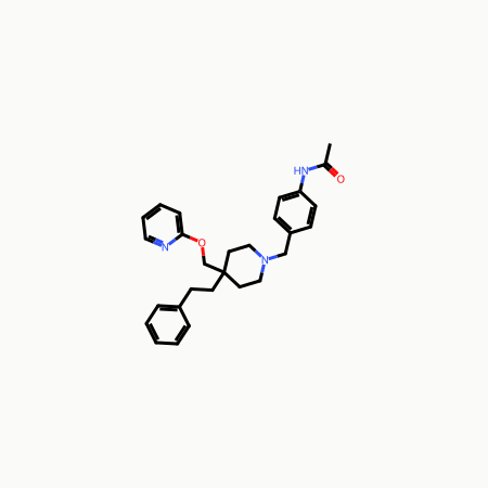 CC(=O)Nc1ccc(CN2CCC(CCc3ccccc3)(COc3ccccn3)CC2)cc1